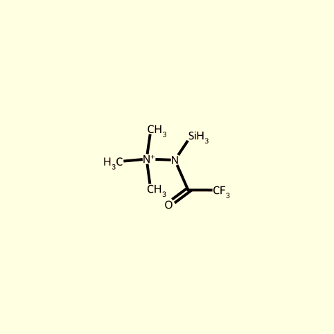 C[N+](C)(C)N([SiH3])C(=O)C(F)(F)F